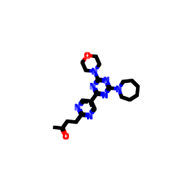 CC(=O)CCc1ncc(-c2nc(N3CCCCCC3)nc(N3CCOCC3)n2)cn1